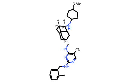 CNC1CCC(N[C@H]2C3CC4C[C@@H]2C[C@](CNc2nc(NCc5ccccc5C)ncc2C#N)(C4)C3)CC1